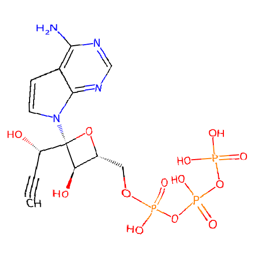 C#C[C@H](O)[C@@]1(n2ccc3c(N)ncnc32)O[C@H](COP(=O)(O)OP(=O)(O)OP(=O)(O)O)[C@H]1O